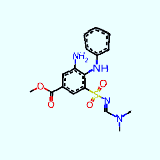 COC(=O)c1cc(N)c(Nc2ccccc2)c(S(=O)(=O)N=CN(C)C)c1